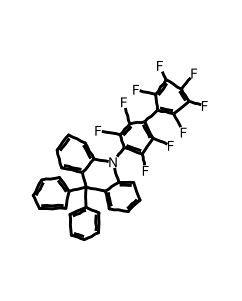 Fc1c(F)c(F)c(-c2c(F)c(F)c(N3c4ccccc4C(c4ccccc4)(c4ccccc4)c4ccccc43)c(F)c2F)c(F)c1F